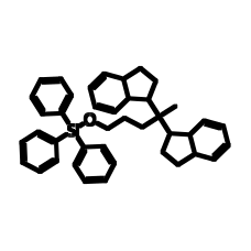 CC(CCCO[Si](c1ccccc1)(c1ccccc1)c1ccccc1)(C1CCC2C=CC=CC21)C1CCC2C=CC=CC21